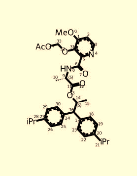 COc1ccnc(C(=O)N[C@@H](C)C(=O)O[C@@H](C)C(c2ccc(C(C)C)cc2)c2ccc(C(C)C)cc2)c1OCOC(C)=O